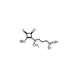 CCCN(CC)CCCN(C)c1c(C(C)(C)C)c(=S)c1=O